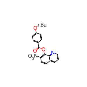 CCCCOc1ccc(C(=O)Oc2c([N+](=O)[O-])ccc3cccnc23)cc1